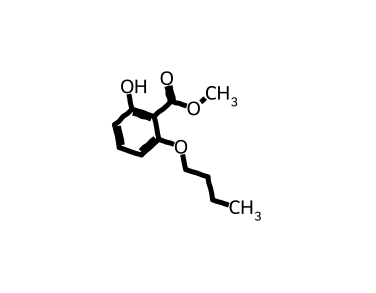 CCCCOc1cccc(O)c1C(=O)OC